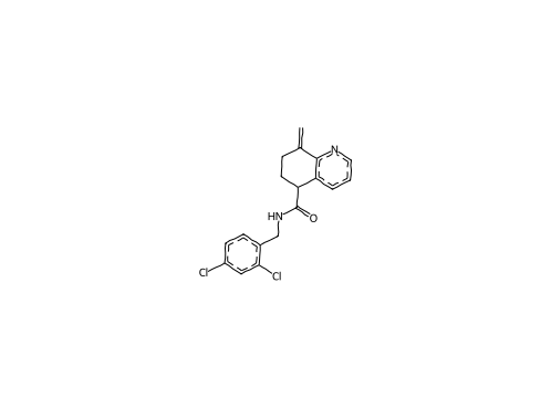 C=C1CCC(C(=O)NCc2ccc(Cl)cc2Cl)c2cccnc21